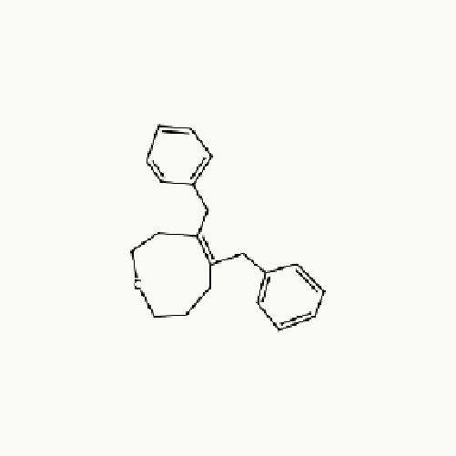 c1ccc(CC2=C(Cc3ccccc3)CCCCCC2)cc1